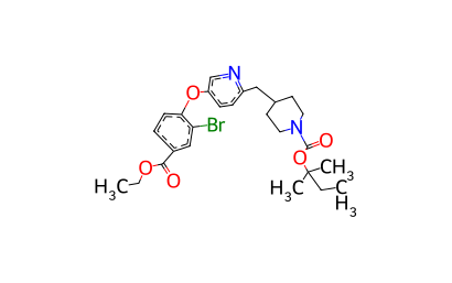 CCOC(=O)c1ccc(Oc2ccc(CC3CCN(C(=O)OC(C)(C)CC)CC3)nc2)c(Br)c1